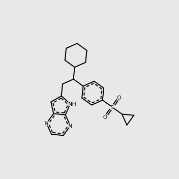 O=S(=O)(c1ccc(C(Cc2cc3nccnc3[nH]2)C2CCCCC2)cc1)C1CC1